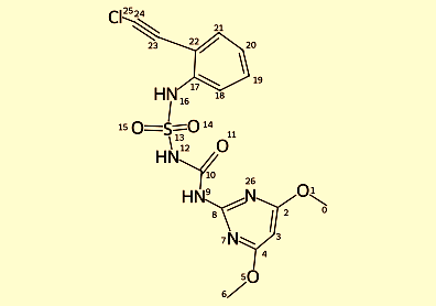 COc1cc(OC)nc(NC(=O)NS(=O)(=O)Nc2ccccc2C#CCl)n1